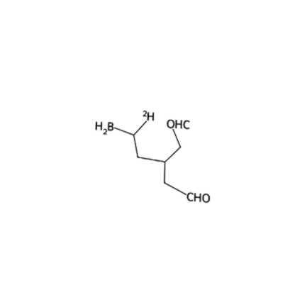 [2H]C(B)CC(CC=O)CC=O